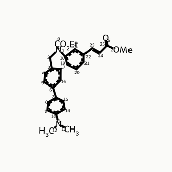 CCOC(=O)N(Cc1ccc(-c2ccc(N(C)C)cc2)cc1)c1cccc(/C=C/C(=O)OC)c1